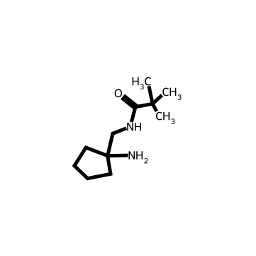 CC(C)(C)C(=O)NCC1(N)CCCC1